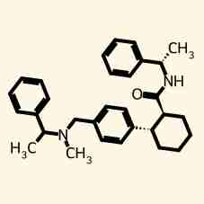 CC(c1ccccc1)N(C)Cc1ccc([C@H]2CCCC[C@@H]2C(=O)N[C@@H](C)c2ccccc2)cc1